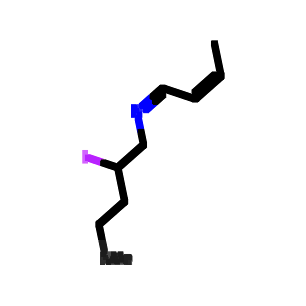 C/C=C\C=N/CC(I)CCNC